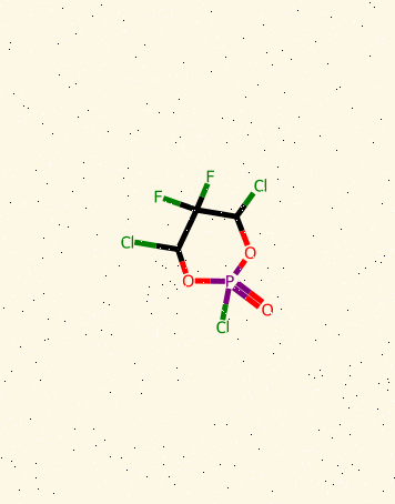 O=P1(Cl)OC(Cl)C(F)(F)C(Cl)O1